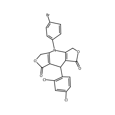 O=C1OCC2=C1C(c1ccc(Cl)cc1Cl)C1=C(COC1=O)N2c1ccc(Br)cc1